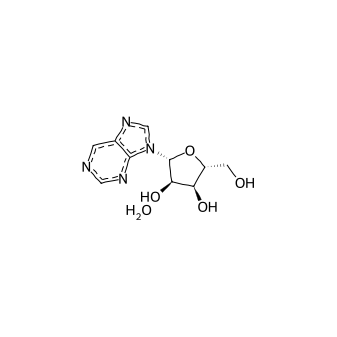 O.OC[C@H]1O[C@@H](n2cnc3cncnc32)[C@H](O)[C@@H]1O